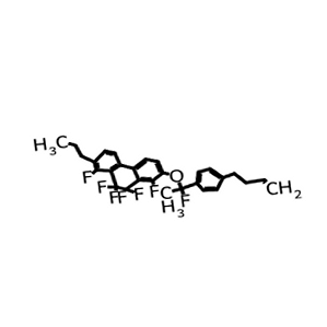 C=CCCc1ccc(C(C)(F)Oc2ccc3c(c2F)C(F)(F)C(F)(F)c2c-3ccc(CCC)c2F)cc1